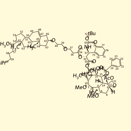 CO[C@H]1C(=O)[C@]2(C)[C@@H](OC)C[C@H]3OC[C@@]3(OC(C)=O)[C@H]2[C@H](OC(=O)c2ccccc2)[C@]2(O)C[C@H](OC(=O)[C@H](OC(=O)CCOCCO[C@H]3CC[C@@]4(C)C(=CCC5C6CCC(C(C)CCCC(C)C)[C@@]6(C)CCC54)C3)[C@@H](NC(=O)OC(C)(C)C)c3ccccc3)C(C)=C1C2(C)C